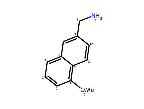 COc1cccc2cc(CN)ccc12